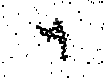 COc1cn(COCC[Si](C)(C)C)nc1Cn1cc(Cn2c3cc(Br)ccc3c(=O)n2C)c(C(F)(F)F)c1